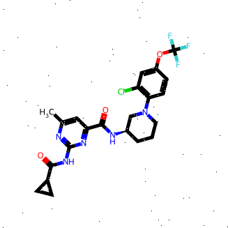 Cc1cc(C(=O)N[C@@H]2CCCN(c3ccc(OC(F)(F)F)cc3Cl)C2)nc(NC(=O)C2CC2)n1